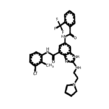 Cc1c(Cl)cccc1NC(=O)c1cc(NC(=O)c2ccccc2C(F)(F)F)cc2[nH]c(NCCN3CCCC3)nc12